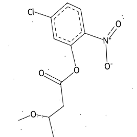 COC(C)CC(=O)Oc1cc(Cl)ccc1[N+](=O)[O-]